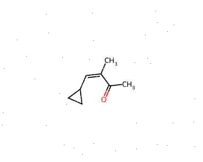 CC(=O)C(C)=CC1CC1